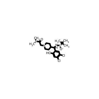 CN(C)C(=O)CN1CCC(C(N[S+]([O-])C(C)(C)C)c2cc(Cl)c(Cl)cc2O)CC1